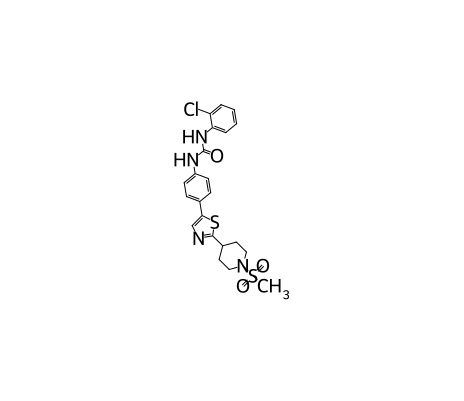 CS(=O)(=O)N1CCC(c2ncc(-c3ccc(NC(=O)Nc4ccccc4Cl)cc3)s2)CC1